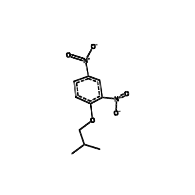 CC(C)COc1ccc([N+](=O)[O-])cc1[N+](=O)[O-]